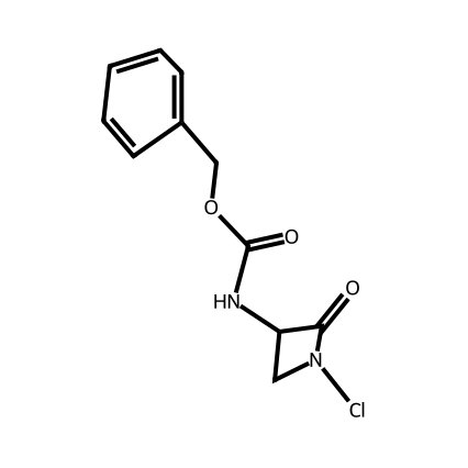 O=C(NC1CN(Cl)C1=O)OCc1ccccc1